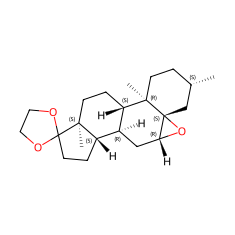 C[C@H]1CC[C@]2(C)[C@H]3CC[C@@]4(C)[C@@H](CCC45OCCO5)[C@@H]3C[C@H]3O[C@]32C1